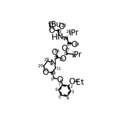 CCOc1ccccc1OC[C@@H]1CN(C(=O)OC(OC(=O)[C@H](NC(=O)OC(C)(C)C)C(C)C)C(C)C)CCO1